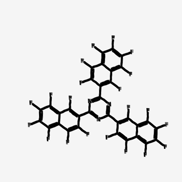 Fc1c(F)c(F)c2c(F)c(-c3nc(-c4c(F)c(F)c5c(F)c(F)c(F)c(F)c5c4F)nc(-c4c(F)c(F)c5c(F)c(F)c(F)c(F)c5c4F)n3)c(F)c(F)c2c1F